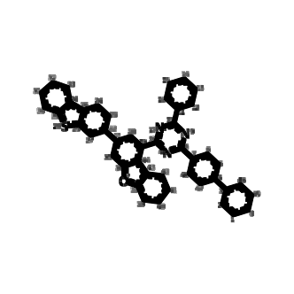 c1ccc(-c2ccc(-c3nc(-c4ccccc4)nc(-c4cc(-c5ccc6c(c5)sc5ccccc56)cc5oc6ccccc6c45)n3)cc2)cc1